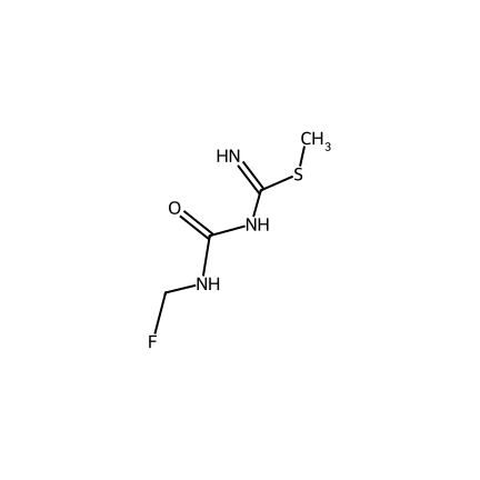 CSC(=N)NC(=O)NCF